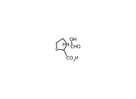 O=C(O)C1NCCS1.O=CO